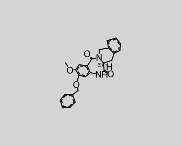 COc1cc2c(cc1OCc1ccccc1)NC(=O)[C@@H]1Cc3ccccc3CN1C2=O